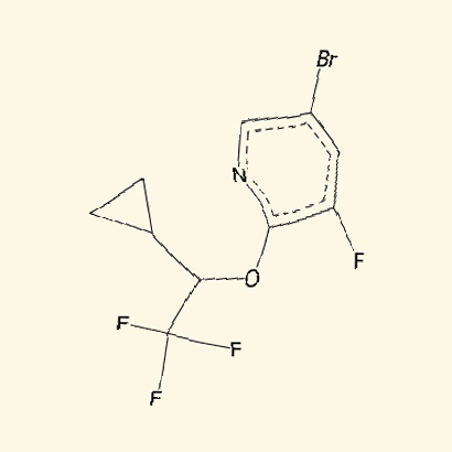 Fc1cc(Br)cnc1OC(C1CC1)C(F)(F)F